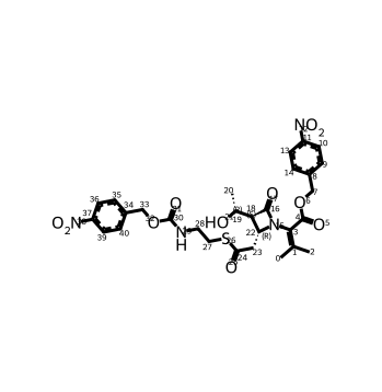 CC(C)=C(C(=O)OCc1ccc([N+](=O)[O-])cc1)N1C(=O)[C@H]([C@@H](C)O)[C@H]1CC(=O)SCCNC(=O)OCc1ccc([N+](=O)[O-])cc1